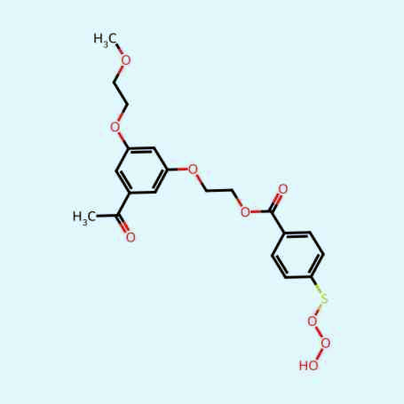 COCCOc1cc(OCCOC(=O)c2ccc(SOOO)cc2)cc(C(C)=O)c1